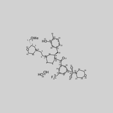 COC[C@@H]1CN(CCN2CCN(C(=O)c3cc(C(F)(F)F)cc(S(=O)(=O)N4CCOCC4)c3)[C@H](Cc3ccc(C)c(O)c3)C2)CCO1.Cl.Cl